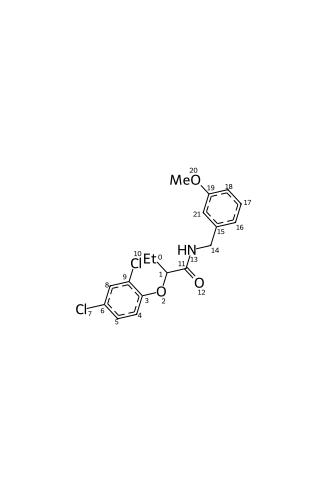 CCC(Oc1ccc(Cl)cc1Cl)C(=O)NCc1cccc(OC)c1